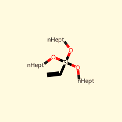 C=C[Si](OCCCCCCC)(OCCCCCCC)OCCCCCCC